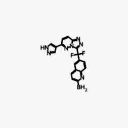 Bc1ccc2cc(C(F)(F)c3nnc4ccc(-c5cn[nH]c5)nn34)ccc2n1